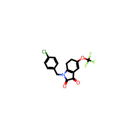 O=C1C(=O)N(Cc2ccc(Cl)cc2)C2=C1C=C(OC(F)(F)F)CC2